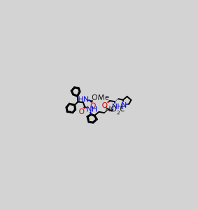 COC(=O)N[C@H](C(=O)Nc1ccccc1CC[C@@H]1CN[C@@H](CC2CCCN2C(=O)O)CO1)C(c1ccccc1)c1ccccc1